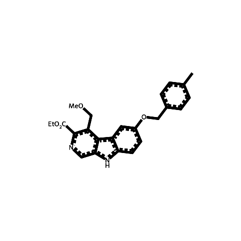 CCOC(=O)c1ncc2[nH]c3ccc(OCc4ccc(C)cc4)cc3c2c1COC